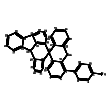 Fc1ccc(-c2cccc3c2Sc2ccccc2C32c3ccccc3-n3c4ccccc4c4cccc2c43)cc1